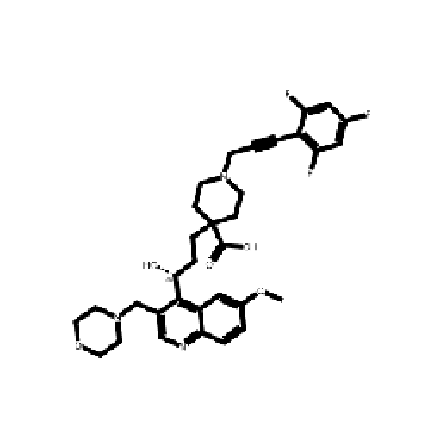 COc1ccc2ncc(CN3CCOCC3)c([C@H](O)CCC3(C(=O)O)CCN(CC#Cc4c(F)cc(F)cc4F)CC3)c2c1